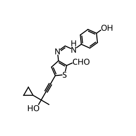 CC(O)(C#Cc1cc(/N=C\Nc2ccc(O)cc2)c(C=O)s1)C1CC1